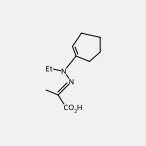 CCN(N=C(C)C(=O)O)C1=CCCCC1